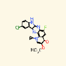 O=C(O)Oc1cn(C2CC2)c2c(cc(F)c3nc4[nH]c5ccc(Cl)cc5c4nc32)c1=O